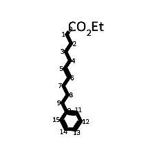 CCOC(=O)CCCCC=CCCCc1ccccc1